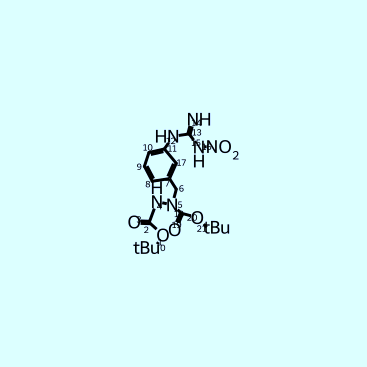 CC(C)(C)OC(=O)NN(Cc1cccc(NC(=N)N[N+](=O)[O-])c1)C(=O)OC(C)(C)C